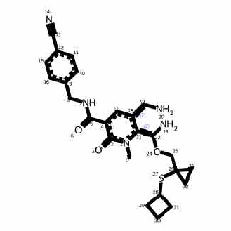 Cn1c(=O)c(C(=O)NCc2ccc(C#N)cc2)cc(=C/N)/c1=C(\N)OCC1(SC2CCC2)CC1